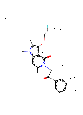 CCc1cc2c(c(OCCF)c(C=O)n2C)c(=O)n1CC(=O)c1ccccc1